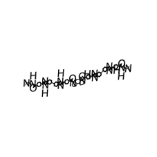 CN(C)CCNC(=O)c1ccc(-c2nc3ccc(-c4ccc5nc(-c6ccc(C(=O)N7CCCC8C9CCCN(C(=O)c%10ccc(-c%11nc%12ccc(-c%13ccc%14nc(-c%15ccc(C(=O)NCCN(C)C)cc%15)[nH]c%14c%13)cc%12[nH]%11)cc%10)C9CCC87)cc6)[nH]c5c4)cc3[nH]2)cc1